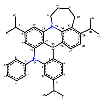 CC(C)c1ccc2c(c1)N(c1ccccc1)c1cc(C(C)C)cc3c1B2c1ccc(C(C)C)c2c1N3CCCC2